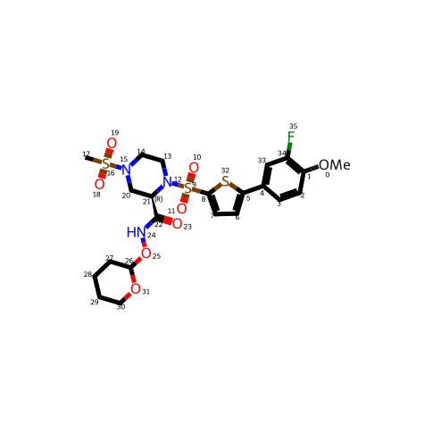 COc1ccc(-c2ccc(S(=O)(=O)N3CCN(S(C)(=O)=O)C[C@@H]3C(=O)NOC3CCCCO3)s2)cc1F